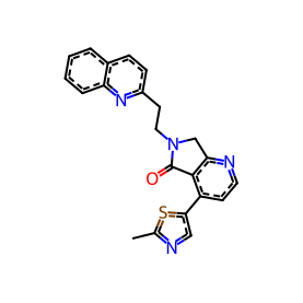 Cc1ncc(-c2ccnc3c2C(=O)N(CCc2ccc4ccccc4n2)C3)s1